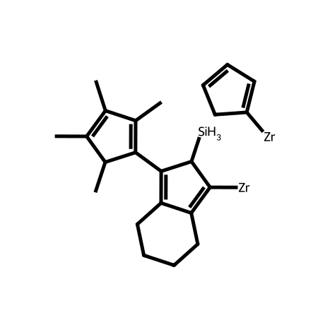 CC1=C(C)C(C)C(C2=C3CCCCC3=[C]([Zr])C2[SiH3])=C1C.[Zr][C]1=CC=CC1